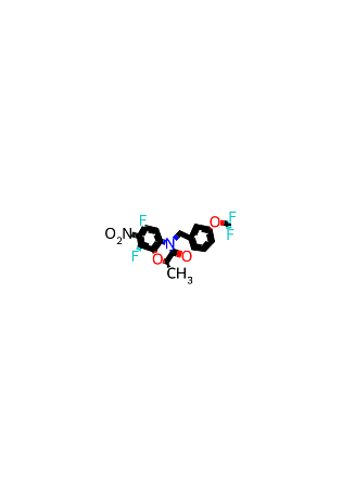 C[C@H]1Oc2c(cc(F)c([N+](=O)[O-])c2F)N(Cc2cccc(OC(F)F)c2)C1=O